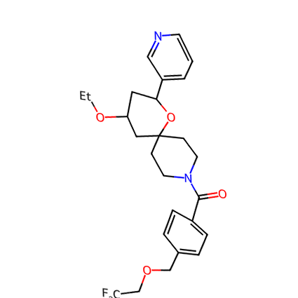 CCOC1CC(c2cccnc2)OC2(CCN(C(=O)c3ccc(COCC(F)(F)F)cc3)CC2)C1